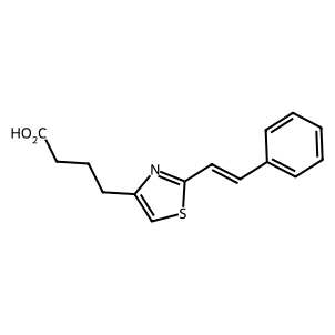 O=C(O)CCCc1csc(/C=C/c2ccccc2)n1